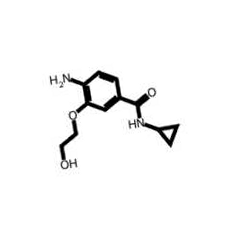 Nc1ccc(C(=O)NC2CC2)cc1OCCO